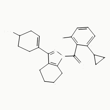 O=C(O)C1CC=C(c2nn(C(=O)c3c(Cl)cccc3C3CC3)c3c2CCCC3)CC1